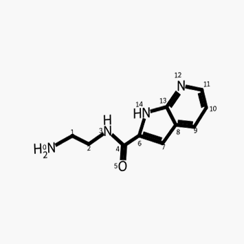 NCCNC(=O)c1cc2cccnc2[nH]1